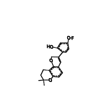 CC1(C)CCc2c(ccc3c2OCC(c2ccc(OF)cc2O)=C3)O1